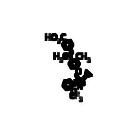 Cc1cc(OCc2c(C3CC3)cnn2-c2ccccc2OC(F)(F)F)ccc1N(C)Cc1ccc(C(=O)O)cc1